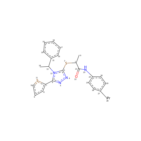 CC(Sc1nnc(-c2cccs2)n1C(C)c1ccccc1)C(=O)Nc1ccc(C(C)C)cc1